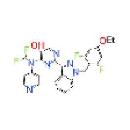 CCOc1cc(F)c(Cn2nc(-c3ncc(O)c(N(c4ccncc4)C(F)F)n3)c3ccccc32)c(F)c1